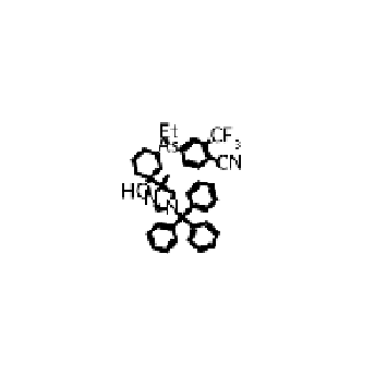 CC[As](c1ccc(C#N)c(C(F)(F)F)c1)C1CCCC(O)(C2(C)CN(C(c3ccccc3)(c3ccccc3)c3ccccc3)C=N2)C1